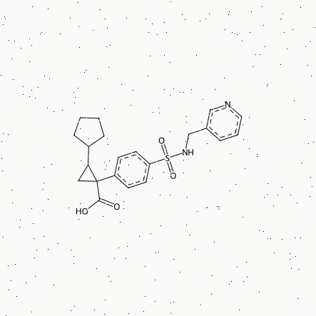 O=C(O)C1(c2ccc(S(=O)(=O)NCc3cccnc3)cc2)CC1C1CCCC1